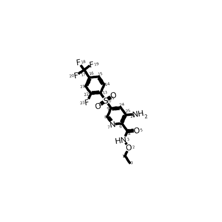 CCONC(=O)c1ncc(S(=O)(=O)c2ccc(C(F)(F)F)cc2F)cc1N